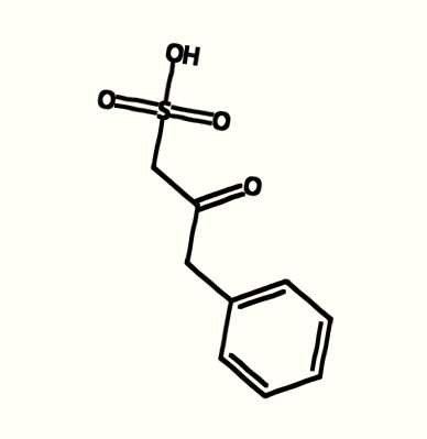 O=C(Cc1ccccc1)CS(=O)(=O)O